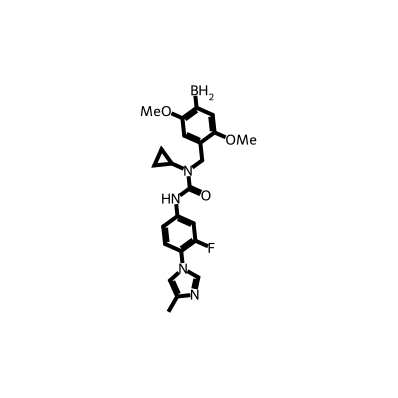 Bc1cc(OC)c(CN(C(=O)Nc2ccc(-n3cnc(C)c3)c(F)c2)C2CC2)cc1OC